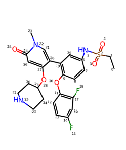 CCS(=O)(=O)Nc1ccc(Oc2ccc(F)cc2F)c(-c2cn(C)c(=O)cc2OC2CCNCC2)c1